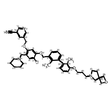 Cc1c(COc2cc(OCc3cncc(C#N)c3)c(CN3CCCCC3)cc2Cl)cccc1-c1cccc(OCCCN2CCC3(COC3)C2)c1C